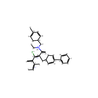 C=C(/C(C)=C\C)/C(F)=C(\CC1C=CC(c2ccccc2)=CC1)C(=C)N(CC)CC1C=CC(C)=CC1